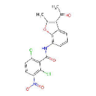 CC(=O)c1c(C)oc2c(NC(=O)c3c(Cl)ccc([N+](=O)[O-])c3Cl)cccc12